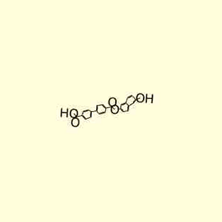 O=C(O)c1ccc(-c2ccc(C(=O)Oc3ccc4cc(O)ccc4c3)cc2)cc1